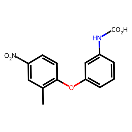 Cc1cc([N+](=O)[O-])ccc1Oc1cccc(NC(=O)O)c1